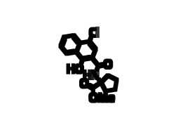 COC(=O)C1(NC(=O)c2cc(Cl)c3ccccc3c2O)CCCC1